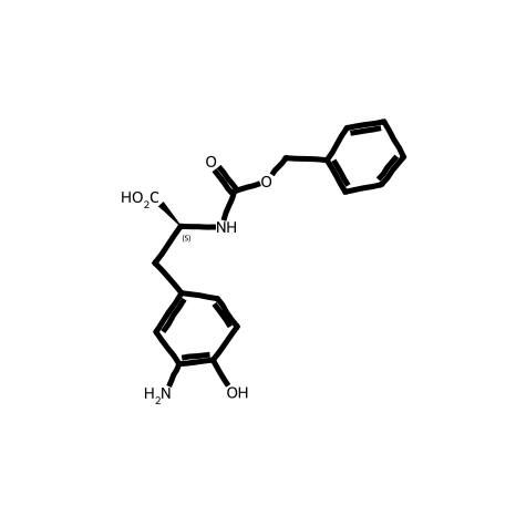 Nc1cc(C[C@H](NC(=O)OCc2ccccc2)C(=O)O)ccc1O